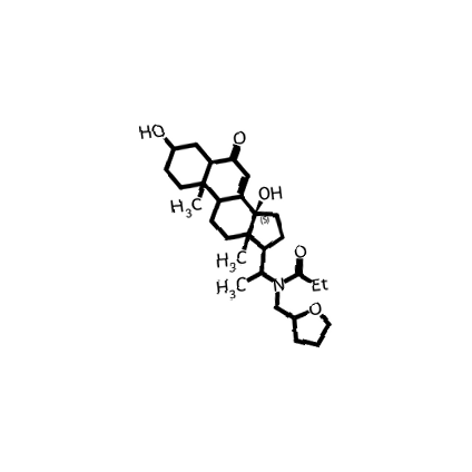 CCC(=O)N(CC1CCCO1)C(C)C1CC[C@@]2(O)C3=CC(=O)C4CC(O)CCC4(C)C3CCC12C